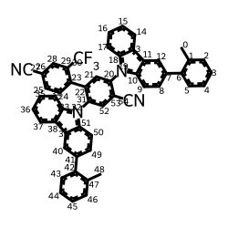 Cc1ccccc1-c1ccc2c(c1)c1ccccc1n2-c1cc(-c2ccc(C#N)cc2C(F)(F)F)c(-n2c3ccccc3c3cc(-c4ccccc4C)ccc32)cc1C#N